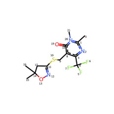 Cc1nc(C(F)(F)F)c(CSC2=NOC(C)(C)C2)c(=O)n1C